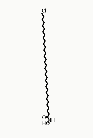 O=C(CCCCCCCCCCCCCCCCCCCCCCCCCCCCCCCCCCCl)NO